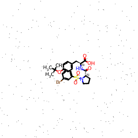 CC(C)(C)Oc1ccc(C[C@H](NC(=O)[C@@H]2CCCN2S(=O)(=O)c2cccc(Br)c2)C(=O)O)cc1